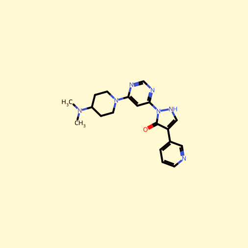 CN(C)C1CCN(c2cc(-n3[nH]cc(-c4cccnc4)c3=O)ncn2)CC1